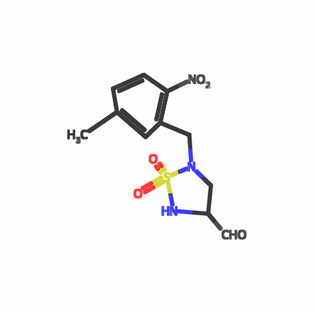 Cc1ccc([N+](=O)[O-])c(CN2CC(C=O)NS2(=O)=O)c1